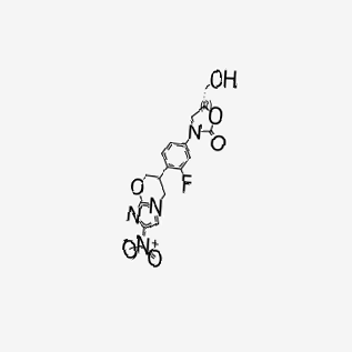 O=C1O[C@@H](CO)CN1c1ccc(C2COc3nc([N+](=O)[O-])cn3C2)c(F)c1